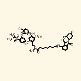 COc1cc(CCN(C)C(=O)CCCCCCCCNc2cccc3c2C(=O)N(C2CCC(=O)CC2=O)C3=O)c(C)cc1Nc1ncc(Cl)c(Nc2ccccc2S(=O)(=O)C(C)C)n1